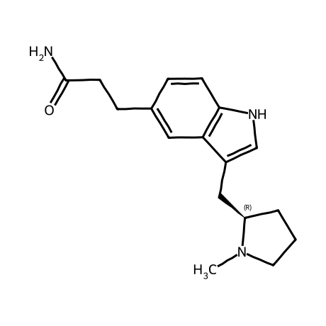 CN1CCC[C@@H]1Cc1c[nH]c2ccc(CCC(N)=O)cc12